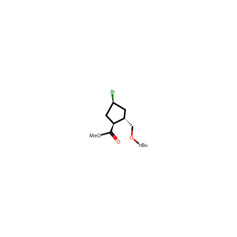 CCCCOC[C@H]1C[C@H](Br)C[C@@H]1C(=O)OC